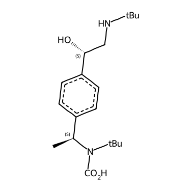 C[C@@H](c1ccc([C@H](O)CNC(C)(C)C)cc1)N(C(=O)O)C(C)(C)C